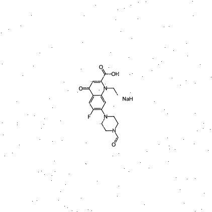 CCn1c(C(=O)O)cc(=O)c2cc(F)c(N3CCN(C=O)CC3)cc21.[NaH]